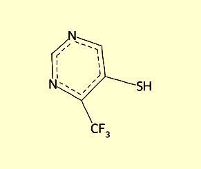 FC(F)(F)c1ncncc1S